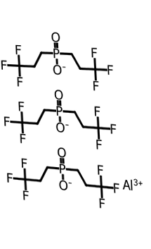 O=P([O-])(CCC(F)(F)F)CCC(F)(F)F.O=P([O-])(CCC(F)(F)F)CCC(F)(F)F.O=P([O-])(CCC(F)(F)F)CCC(F)(F)F.[Al+3]